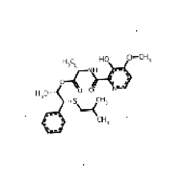 COc1ccnc(C(=O)N[C@@H](C)C(=O)O[C@@H](C)[C@H](SCC(C)C)c2ccccc2)c1O